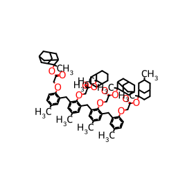 Cc1ccc(OCC(=O)OC2(C)C3CC4CC(C3)CC2C4)c(Cc2cc(C)cc(Cc3cc(C)cc(Cc4cc(C)ccc4OCC(=O)OC4(C)CCC5CC(C)CC4C5)c3OCC(=O)OC3(C)C4CC5CC(C4)CC3C5)c2OCC(=O)OC2(C)C3CCCC2CC(C)C3)c1